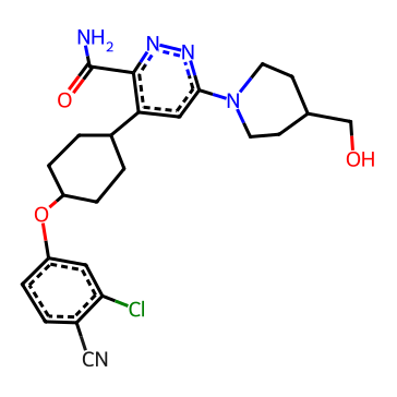 N#Cc1ccc(OC2CCC(c3cc(N4CCC(CO)CC4)nnc3C(N)=O)CC2)cc1Cl